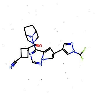 N#CC1CC(C(=O)N2C3CCC2CN(c2ncnn4cc(-c5cnn(C(F)F)c5)cc24)C3)C1